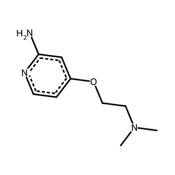 CN(C)CCOc1ccnc(N)c1